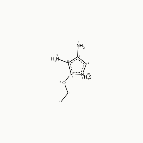 CCOn1ncc(N)c1N.S